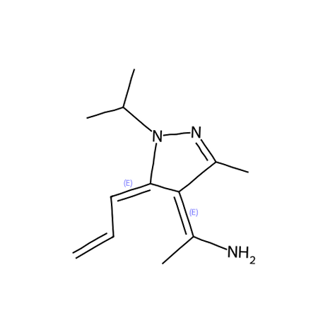 C=C/C=c1\c(=C(/C)N)c(C)nn1C(C)C